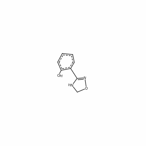 Oc1ccccc1C1=NOCN1